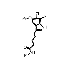 CC(C)NC(=O)CCCCc1c[nH]c2c(F)c(Cl)c(OC(C)C)cc12